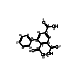 O=C(O)c1cc(C(=O)O)c(C(=O)O)c(-c2ccccc2)c1